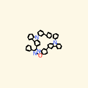 c1ccc(-c2cccc(-n3c4ccccc4c4cc(-c5c(-c6ccccc6)nc6oc7ccc(-c8ccc9c(c8)c8ccccc8n9-c8ccccc8)cc7n56)ccc43)c2)cc1